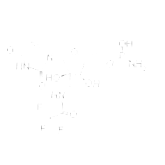 NP(O)OC[C@H]1O[C@@H](n2ccc(=O)[nH]c2=O)[C@@](O)(CNC(=O)C(F)(F)F)[C@@H]1O